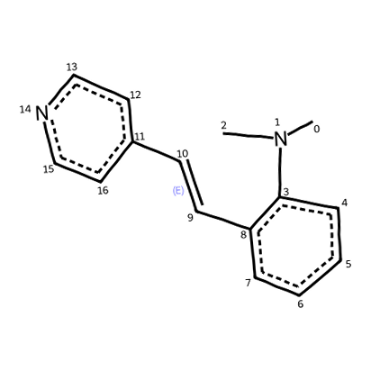 CN(C)c1ccccc1/C=C/c1ccncc1